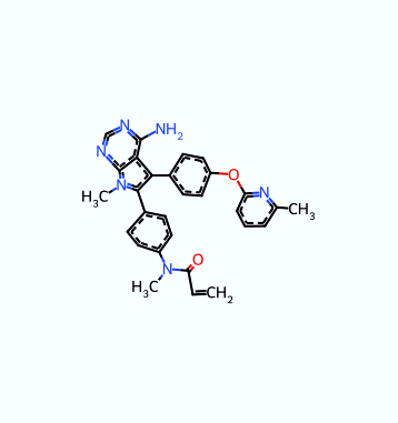 C=CC(=O)N(C)c1ccc(-c2c(-c3ccc(Oc4cccc(C)n4)cc3)c3c(N)ncnc3n2C)cc1